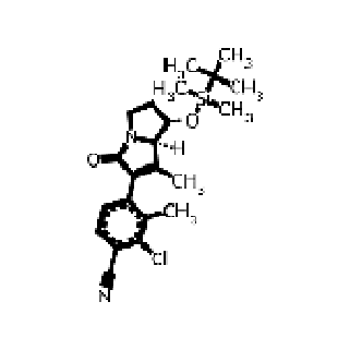 CC1=C(c2ccc(C#N)c(Cl)c2C)C(=O)N2CC[C@H](O[Si](C)(C)C(C)(C)C)[C@@H]12